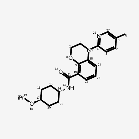 Cc1ccc(N2CCOc3c(C(=O)N[C@H]4CC[C@H](OC(C)C)CC4)cccc32)nc1